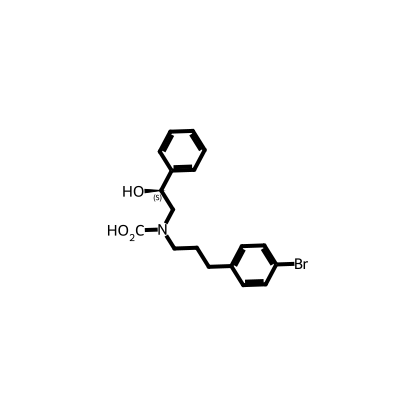 O=C(O)N(CCCc1ccc(Br)cc1)C[C@@H](O)c1ccccc1